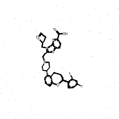 O=C(O)c1ccc2nc(CN3CCC(c4cccc5c4CCC(c4ccc(Cl)cc4F)O5)CC3)n(CC3CCO3)c2n1